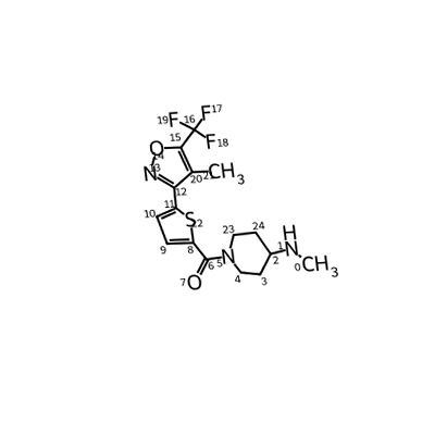 CNC1CCN(C(=O)c2ccc(-c3noc(C(F)(F)F)c3C)s2)CC1